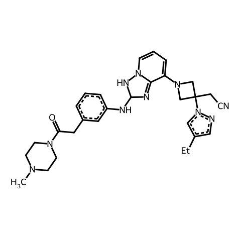 CCc1cnn(C2(CC#N)CN(C3=CC=CN4NC(Nc5cccc(CC(=O)N6CCN(C)CC6)c5)N=C34)C2)c1